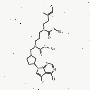 C/C=C(\C)CCN(CCCN(CC1CCC(n2cc(Br)c3c(Cl)ncnc32)C1)C(=O)OC(C)(C)C)C(=O)OC(C)(C)C